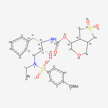 COc1ccc(S(=O)(=O)N(CC(C)C)C[C@@H](O)[C@H](Cc2ccccc2)NC(=O)OC2COCC3CS(=O)(=O)CC32)cc1